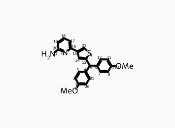 COc1ccc(C(c2ccc(OC)cc2)c2cc(-c3cccc(N)n3)cs2)cc1